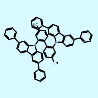 N#Cc1ccc(-c2ccc(C#N)cc2-n2c3ccc(-c4ccccc4)cc3c3ccc(-c4ccccc4)cc32)c(-n2c3ccc(-c4ccccc4)cc3c3ccc(-c4ccccc4)cc32)c1